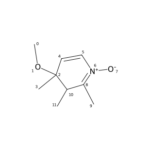 COC1(C)C=C[N+]([O-])=C(C)C1C